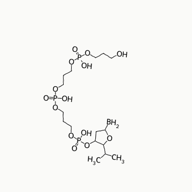 BC1CC(OP(=O)(O)OCCCOP(=O)(O)OCCCOP(=O)(O)OCCCO)C(C(C)C)O1